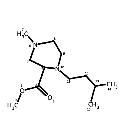 COC(=O)C1CN(C)CCN1CCC(C)C